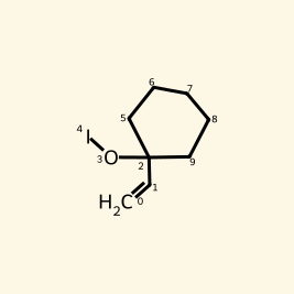 C=CC1(OI)CCCCC1